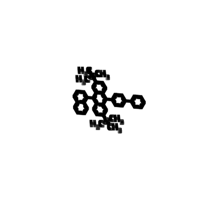 C[Si](C)(C)c1ccc2c(-c3cccc4ccccc34)c3cc([Si](C)(C)C)ccc3c(-c3ccc(-c4ccccc4)cc3)c2c1